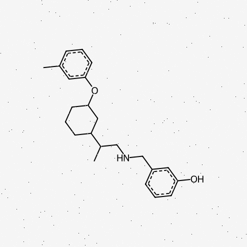 Cc1cccc(OC2CCCC(C(C)CNCc3cccc(O)c3)C2)c1